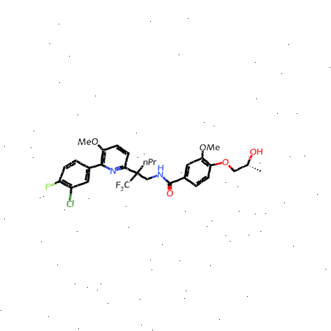 CCCC(CNC(=O)c1ccc(OC[C@@H](C)O)c(OC)c1)(c1ccc(OC)c(-c2ccc(F)c(Cl)c2)n1)C(F)(F)F